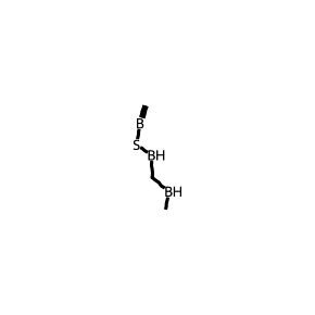 C=BSBCBC